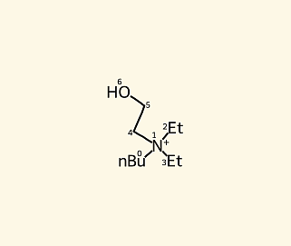 CCCC[N+](CC)(CC)CCO